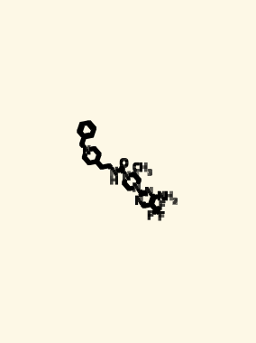 C[C@@H]1CN(c2ncc(C(F)(F)F)c(N)n2)CCN1C(=O)NCCC1CCN(Cc2ccccc2)CC1